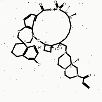 C=CC(=O)N1CCN2CCN(C[C@@]3(O)CCC[C@H](C)[C@@H](C)S(=O)(=O)NC(=O)c4ccc5c(c4)N(C[C@@H]4CC[C@H]43)C[C@@]3(CCCc4cc(Cl)ccc43)CO5)C[C@H]2C1